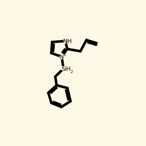 C=CCc1[nH]cc[n+]1[SiH2]Cc1ccccc1